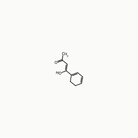 CC(=O)/C=C(\O)C1=CC=CCC1